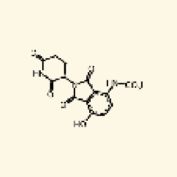 O=C(O)Nc1ccc(O)c2c1C(=O)N(C1CCC(=O)NC1=O)C2=O